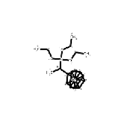 CCO[Si](OCC)(OCC)C(C)[C]12[CH]3[CH]4[CH]5[CH]1[Fe]45321678[CH]2[CH]1[CH]6[CH]7[CH]28